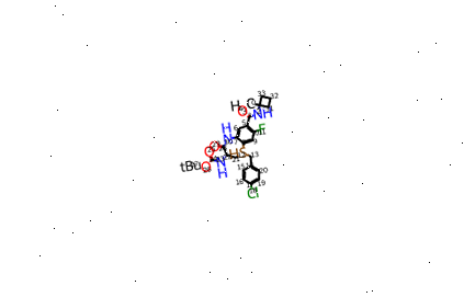 CC1(NC(=O)c2cc3c(cc2F)[SH](Cc2ccc(Cl)cc2)C[C@H](NC(=O)OC(C)(C)C)C(=O)N3)CCC1